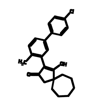 Cc1ccc(-c2ccc(Cl)cc2)cc1C1=C(O)C2(CCCCCC2)CC1=O